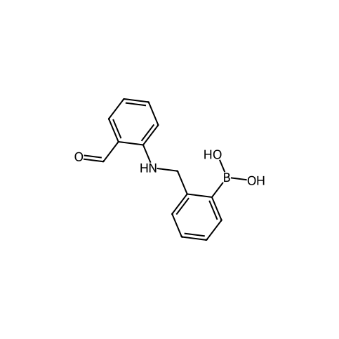 O=Cc1ccccc1NCc1ccccc1B(O)O